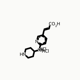 Cl.Cl.O=C(O)C=Cc1ccc(NC2CCNCC2)nc1